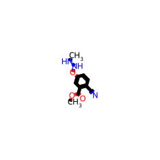 CNNOc1ccc(C#N)c(C(=O)OC)c1